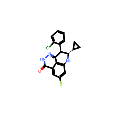 O=c1[nH]nc2c3c(cc(F)cc13)N[C@@H](C1CC1)[C@@H]2c1ccccc1Cl